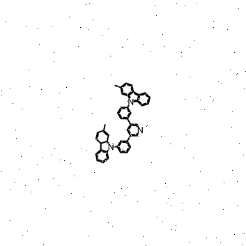 CC1=CC2C(C=C1)c1ccccc1N2c1cccc(-c2cncc(-c3cccc(-n4c5ccccc5c5ccc(C)cc54)c3)c2)c1